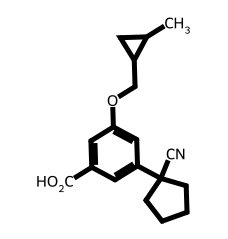 CC1CC1COc1cc(C(=O)O)cc(C2(C#N)CCCC2)c1